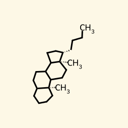 CCCC[C@H]1CCC2C3CCC4CCCC[C@]4(C)C3CC[C@@]21C